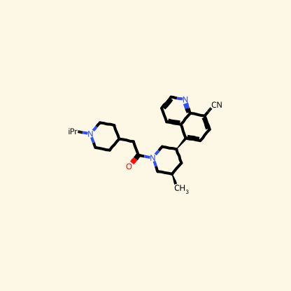 CC(C)N1CCC(CC(=O)N2C[C@H](C)C[C@H](c3ccc(C#N)c4ncccc34)C2)CC1